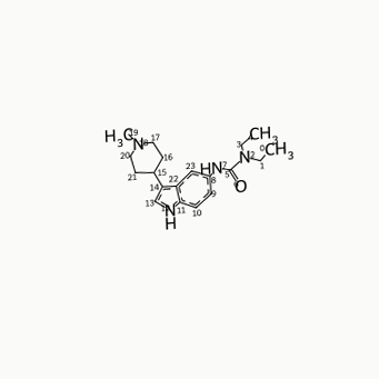 CCN(CC)C(=O)Nc1ccc2[nH]cc(C3CCN(C)CC3)c2c1